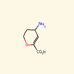 NC1C=C(C(=O)O)OCC1